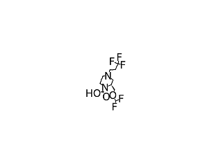 O=C(O)N1CCN(CCC(F)(F)F)C[C@H]1COC(F)F